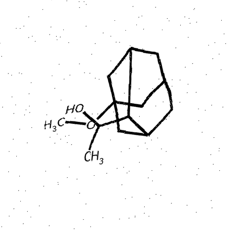 COC12CC3CC(C1)C(C(C)O)C(C3)C2